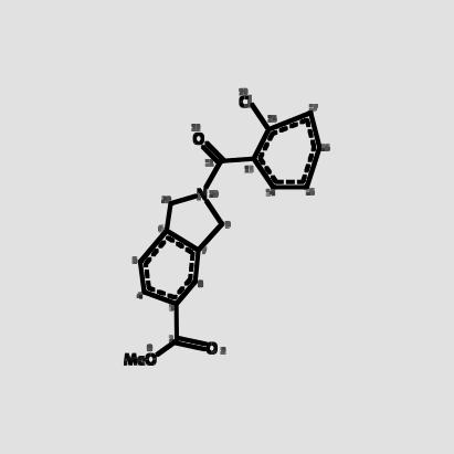 COC(=O)c1ccc2c(c1)CN(C(=O)c1ccccc1Cl)C2